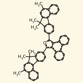 Cc1cc2c(c3ccccc13)-c1ccc(-c3oc(-c4ccc5c(c4)C(C)(C)c4cc(C)c6ccccc6c4-5)c4c5ccccc5c5ccccc5c34)cc1C2(C)C